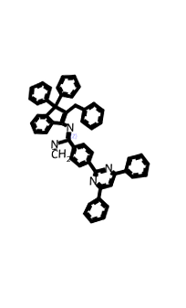 C=N/C(=N\C1=C(Cc2ccccc2)C(c2ccccc2)(c2ccccc2)c2ccccc21)c1ccc(-c2nc(-c3ccccc3)cc(-c3ccccc3)n2)cc1